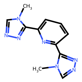 Cn1cnnc1-c1cccc(-c2nncn2C)n1